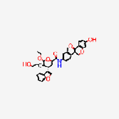 CCOC1OC(C(=O)Nc2ccc(C3COc4cc(O)ccc4C3=O)c(C)c2)=C[C@H](c2coc3ccccc23)C1CCCO